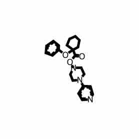 O=C(ON1CCN(c2ccncc2)CC1)C1(Oc2ccccc2)CCCCC1